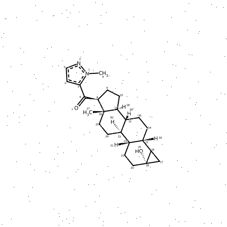 Cn1nccc1C(=O)[C@H]1CC[C@H]2[C@@H]3CC[C@@H]4C5C[C@@]5(O)CC[C@@H]4[C@H]3CC[C@]12C